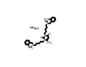 Br.Br.CCN(CCCCCn1c(C)cc(=O)n(CCCCCN(CC)Cc2ccccc2[N+](=O)[O-])c1=O)Cc1ccccc1[N+](=O)[O-]